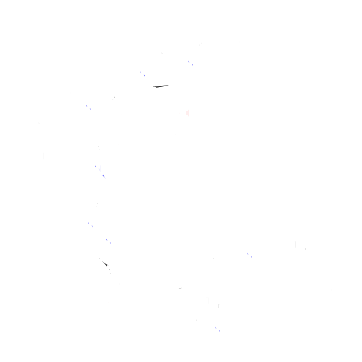 CCn1c(-c2cnccc2COC)c2c3cc(ccc31)-c1cc(O)cc(c1)C[C@H](NC(=O)[C@H](C(C)C)N(C)C(=O)CN(C)C(=O)[C@@H]1CN1C(C)=O)C(=O)N1CCC[C@H](N1)C(=O)OCC(C)(C)C2